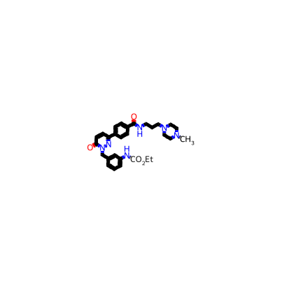 CCOC(=O)Nc1cccc(Cn2nc(-c3ccc(C(=O)NCCCN4CCN(C)CC4)cc3)ccc2=O)c1